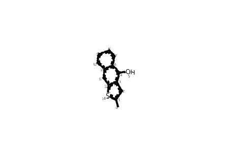 Cc1cc2c(O)c3ccccc3cc2s1